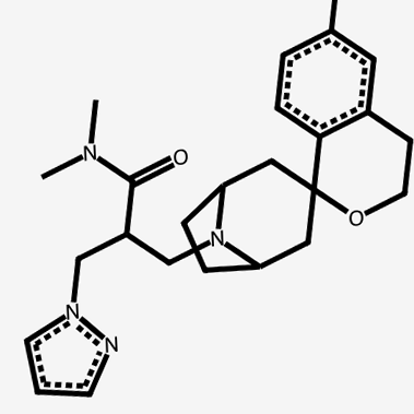 CN(C)C(=O)C(CN1C2CCC1CC1(C2)OCCc2cc(F)ccc21)Cn1cccn1